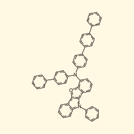 c1ccc(-c2ccc(-c3ccc(N(c4ccc(-c5ccccc5)cc4)c4cccc5c4oc4c6ccccc6n(-c6ccccc6)c54)cc3)cc2)cc1